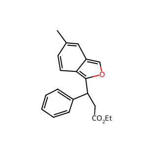 CCOC(=O)CC(c1ccccc1)c1occ2cc(C)ccc12